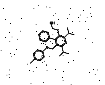 Cc1ccc(SCc2c(C(C)C)nc(C(C)C)c(CCO)c2-c2ccccc2)cc1